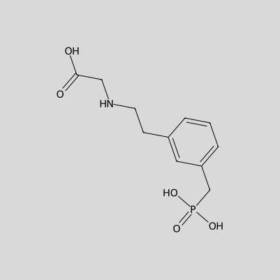 O=C(O)CNCCc1cccc(CP(=O)(O)O)c1